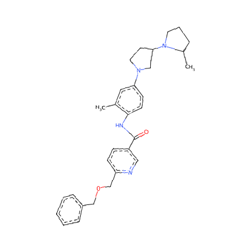 Cc1cc(N2CCC(N3CCCC3C)C2)ccc1NC(=O)c1ccc(COCc2ccccc2)nc1